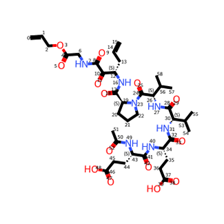 C=CCOC(=O)CNC(=O)C(=O)[C@H](CC=C)NC(=O)[C@@H]1CCCN1C(=O)[C@@H](NC(=O)[C@@H](NC(=O)[C@H](CCC(=O)O)NC(=O)[C@H](CCC(=O)O)NC(C)=O)C(C)C)C(C)C